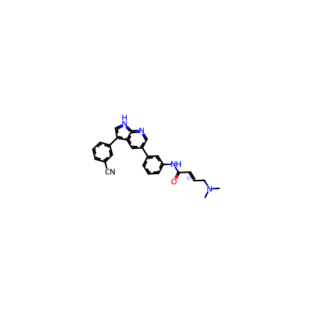 CN(C)C/C=C/C(=O)Nc1cccc(-c2cnc3[nH]cc(-c4cccc(C#N)c4)c3c2)c1